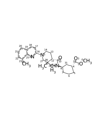 COC(=O)[C@@H]1CCC[C@@H](NC(=O)[C@H]2CCN(c3ccc4cccc(C)c4n3)CC2(C)C)C1